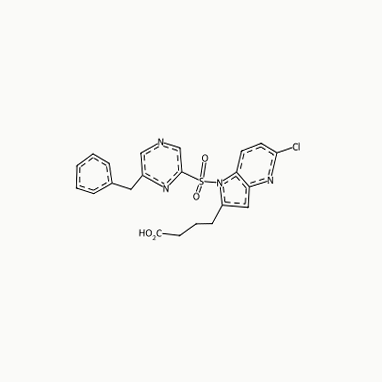 O=C(O)CCCc1cc2nc(Cl)ccc2n1S(=O)(=O)c1cncc(Cc2ccccc2)n1